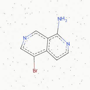 Nc1nccc2c(Br)cncc12